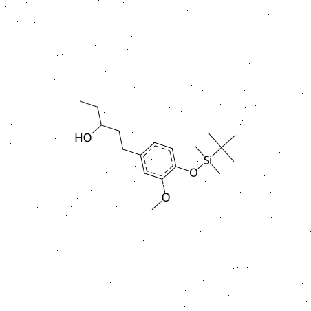 CCC(O)CCc1ccc(O[Si](C)(C)C(C)(C)C)c(OC)c1